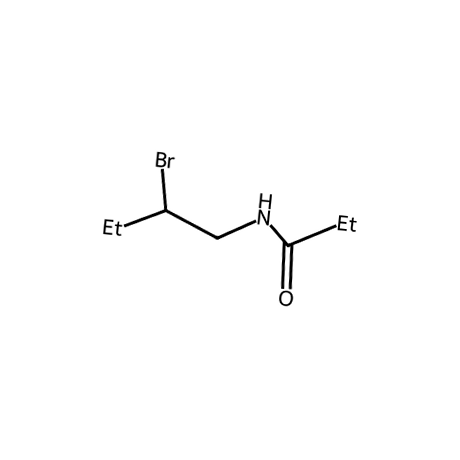 CCC(=O)NCC(Br)CC